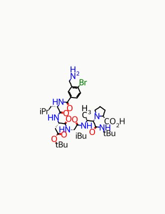 CC[C@H](C)[C@H](NC(=O)[C@H](CC(=O)OC(C)(C)C)NC(=O)[C@H](CC(C)C)NC(=O)c1ccc(Br)c(CN)c1)C(=O)N[C@@H](C)[C@@H](C(=O)NC(C)(C)C)N1CCC[C@H]1C(=O)O